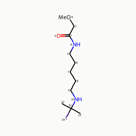 COCC(=O)NCCCCCNC(C)(C)I